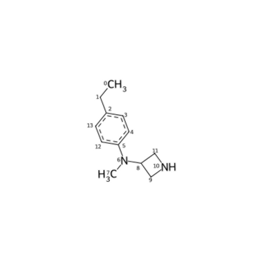 CCc1ccc(N(C)C2CNC2)cc1